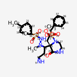 COC(=O)C[C@]1(C(CC=N)N(C)NS(=O)(=O)c2ccc(C)cc2)C(=O)NCCN1S(=O)(=O)Cc1ccccc1